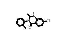 Cc1ccccc1N1C(=O)c2ccc(Cl)cc2NC1C